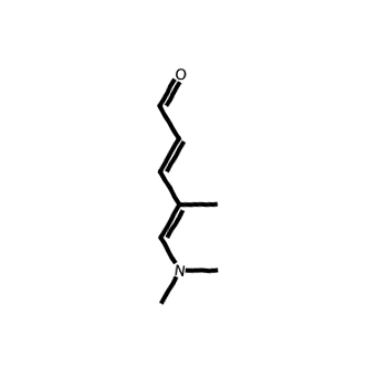 CC(/C=C/C=O)=C\N(C)C